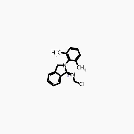 Cc1cccc(C)c1N1Cc2ccccc2/C1=N\CCl